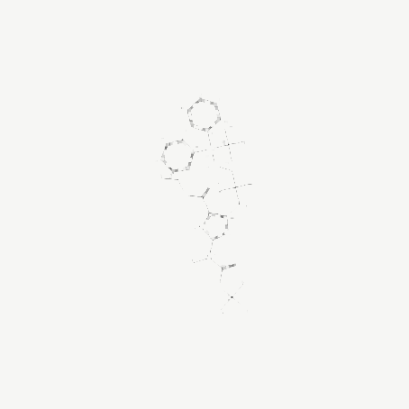 CCOC(=O)c1nc(N(C)C(=O)OC(C)(C)C)sc1CC(C)(C)CO[Si](c1ccccc1)(c1ccccc1)C(C)(C)C